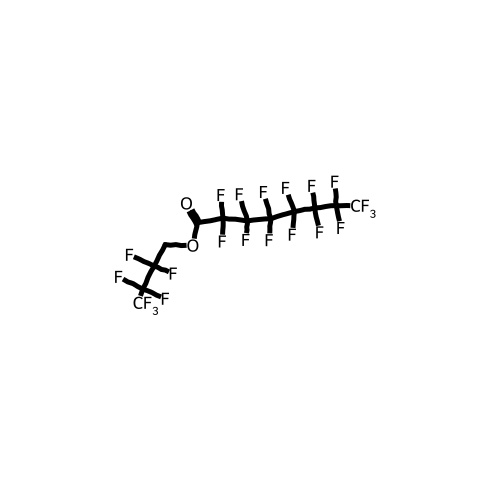 O=C(OCC(F)(F)C(F)(F)C(F)(F)F)C(F)(F)C(F)(F)C(F)(F)C(F)(F)C(F)(F)C(F)(F)C(F)(F)F